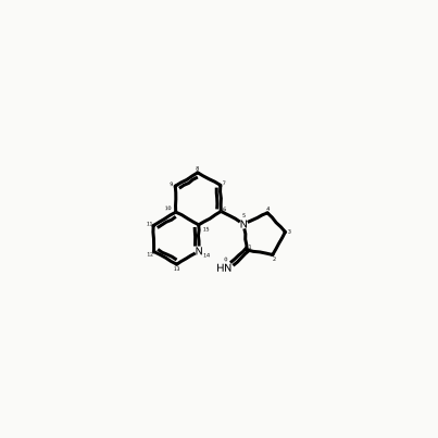 N=C1CCCN1c1cccc2cccnc12